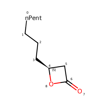 CCCCCCCC[C@H]1CC(=O)O1